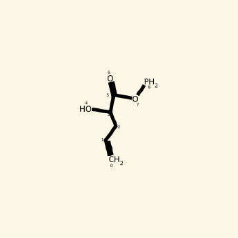 C=CCC(O)C(=O)OP